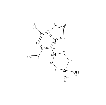 O=Cc1cc(Cl)c2cncn2c1N1CCS(O)(O)CC1